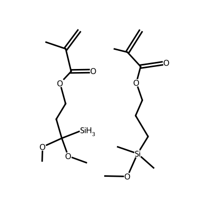 C=C(C)C(=O)OCCC([SiH3])(OC)OC.C=C(C)C(=O)OCCC[Si](C)(C)OC